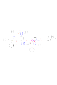 C[C@@H](NC(=O)c1cc(C(=O)N[C@@H](Cc2ccccc2)[C@H](O)CN(C)c2nccn2COCC[Si](C)(C)C)cc(N(C)S(C)(=O)=O)c1)c1ccccc1